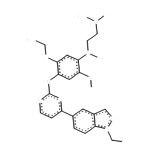 CCOc1cc(N(C)CCN(C)C)c(NC)cc1Nc1nccc(-c2ccc3c(cnn3CC)c2)n1